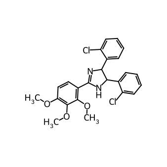 COc1ccc(C2=NC(c3ccccc3Cl)C(c3ccccc3Cl)N2)c(OC)c1OC